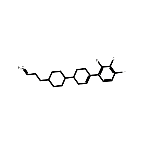 C=CCCC1CCC(C2CC=C(c3ccc(CC)c(Cl)c3F)CC2)CC1